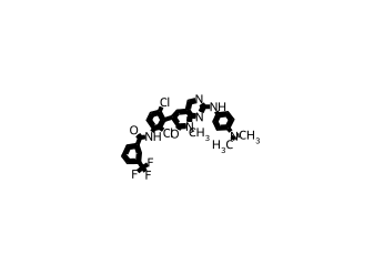 CN(C)c1ccc(Nc2ncc3cc(-c4c(Cl)ccc(NC(=O)c5cccc(C(F)(F)F)c5)c4Cl)c(=O)n(C)c3n2)cc1